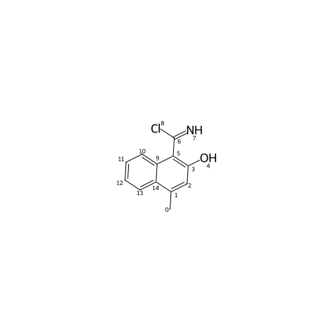 Cc1cc(O)c(C(=N)Cl)c2ccccc12